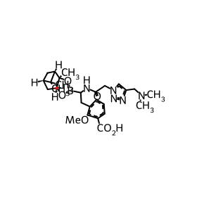 COc1c(CC(NC(=O)Cn2cc(CN(C)C)nn2)B2O[C@@H]3C[C@@H]4C[C@@H](C4(C)C)[C@]3(C)O2)cccc1C(=O)O